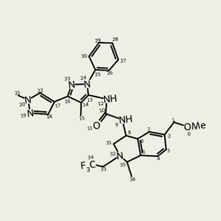 COCc1ccc2c(c1)C(NC(=O)Nc1c(C)c(-c3cnn(C)c3)nn1-c1ccccc1)CN(CC(F)(F)F)C2C